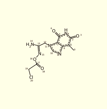 Cn1c(=O)[nH]c(=O)c2c1ncn2CC(N)=NOC(=O)CCl